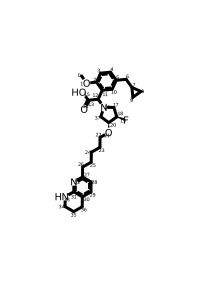 COc1ccc(CC2CC2)cc1C(C(=O)O)N1C[C@@H](F)[C@H](OCCCCCc2ccc3c(n2)NCCC3)C1